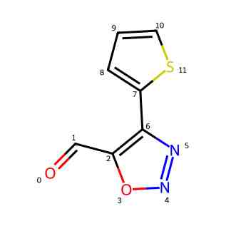 O=Cc1onnc1-c1cccs1